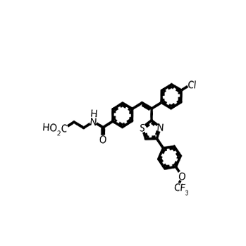 O=C(O)CCNC(=O)c1ccc(C=C(c2ccc(Cl)cc2)c2nc(-c3ccc(OC(F)(F)F)cc3)cs2)cc1